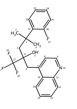 CC(C)(CC(O)(Cc1ccnc2ccccc12)C(F)(F)F)c1ccccc1F